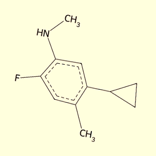 CNc1cc(C2CC2)c(C)cc1F